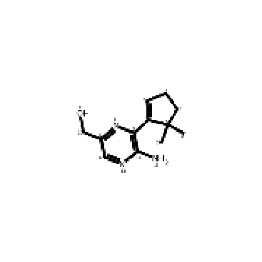 CC1(C)CCC=C1c1nc(CO)cnc1N